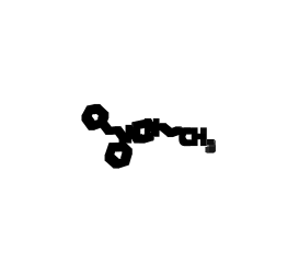 CCCCN1CCN(C(CCc2ccccc2)c2ccccc2)CC1